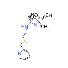 C#CC(C)(C)NC(=C[N+](=O)[O-])NCCSCc1ccccn1